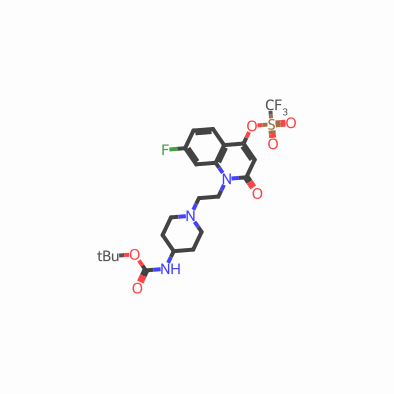 CC(C)(C)OC(=O)NC1CCN(CCn2c(=O)cc(OS(=O)(=O)C(F)(F)F)c3ccc(F)cc32)CC1